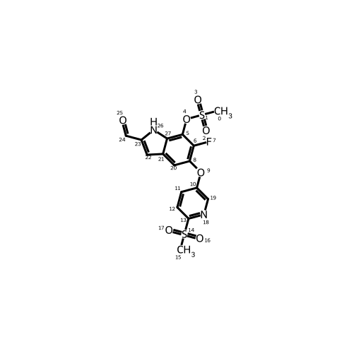 CS(=O)(=O)Oc1c(F)c(Oc2ccc(S(C)(=O)=O)nc2)cc2cc(C=O)[nH]c12